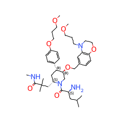 CNC(=O)C(C)(C)C[C@@H]1C[C@H](c2ccc(OCCCOC)cc2)[C@@H](OCc2ccc3c(c2)N(CCCOC)CCO3)CN1C(=O)[C@@H](N)CC(C)C